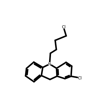 ClCCCCN1c2ccccc2Cc2cc(Cl)ccc21